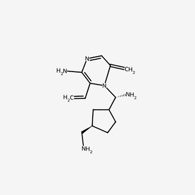 C=CC1=C(N)N=CC(=C)N1[C@H](N)C1CC[C@@H](CN)C1